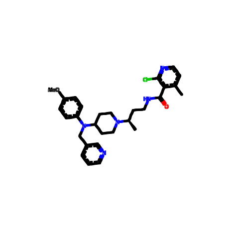 COc1ccc(N(Cc2cccnc2)C2CCN([C@H](C)CCNC(=O)c3c(C)ccnc3Cl)CC2)cc1